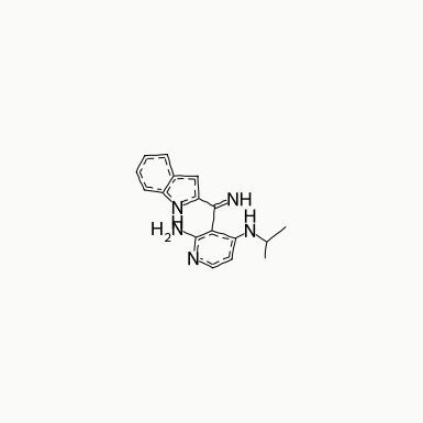 CC(C)Nc1ccnc(N)c1C(=N)c1cc2ccccc2[nH]1